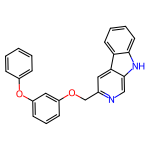 c1ccc(Oc2cccc(OCc3cc4c(cn3)[nH]c3ccccc34)c2)cc1